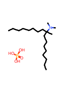 CCCCCCCCC(C)(CCCCCCCC)N(C)C.O=P(O)(O)O